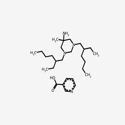 CCCCC(CC)CN1CN(CC(CC)CCCC)CC(C)(N)C1.O=C(O)c1cccnc1